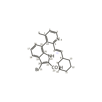 Cc1ccnc(/C=C/C2CCCCC2)c1-c1cccc2c(Br)c(C(=O)O)[nH]c12